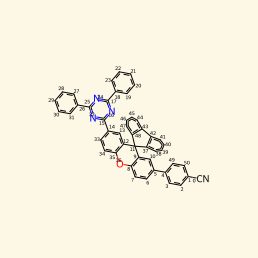 N#Cc1ccc(-c2ccc3c(c2)C2(c4cc(-c5nc(-c6ccccc6)nc(-c6ccccc6)n5)ccc4O3)c3ccccc3-c3ccccc32)cc1